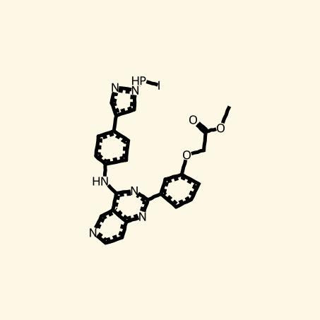 COC(=O)COc1cccc(-c2nc(Nc3ccc(-c4cnn(PI)c4)cc3)c3cnccc3n2)c1